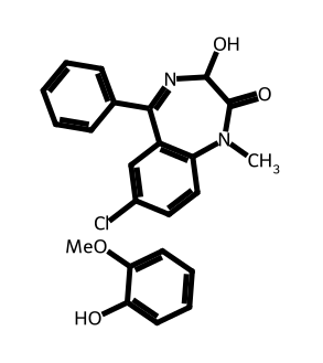 CN1C(=O)C(O)N=C(c2ccccc2)c2cc(Cl)ccc21.COc1ccccc1O